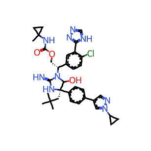 CC(C)(C)C[C@]1(c2ccc(-c3cnn(C4CC4)c3)cc2)NC(=N)N([C@H](COC(=O)NC2(C)CC2)c2ccc(Cl)c(-c3nnc[nH]3)c2)C1O